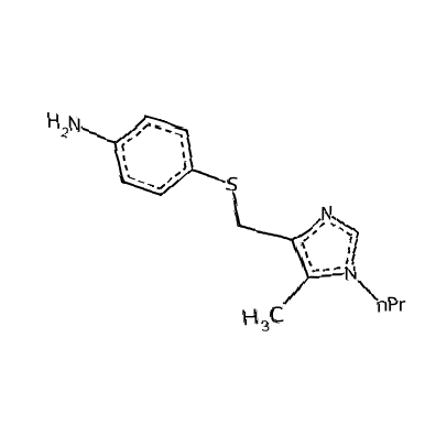 CCCn1cnc(CSc2ccc(N)cc2)c1C